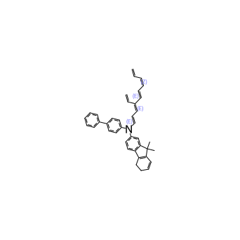 C=C\C=C/C=C/C(C=C)=C/C=C/N(c1ccc(-c2ccccc2)cc1)c1ccc2c(c1)C(C)(C)C1=C2CCC=C1